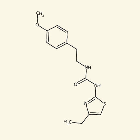 CCc1csc(NC(=O)NCCc2ccc(OC)cc2)n1